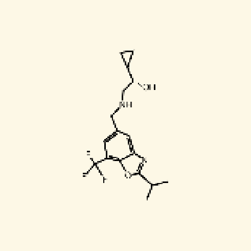 CC(C)c1nc2cc(CNC[C@@H](O)C3CC3)cc(C(F)(F)F)c2o1